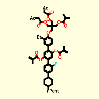 C=C(C)C(=O)OCC(COC(=O)CC(C)=O)(COC(=O)CC(C)=O)COc1ccc(-c2cc(OC(=O)C(=C)C)c(-c3ccc(C4CCC(CCCCC)CC4)cc3F)cc2OC(=O)C(=C)C)cc1CC